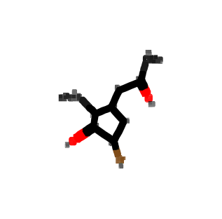 CCCCCC1C(=O)C(Br)CC1CC(=O)OC